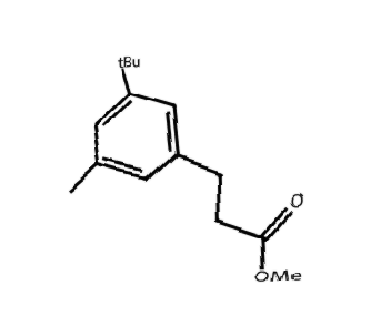 COC(=O)CCc1cc(C)cc(C(C)(C)C)c1